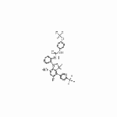 CC1(C)CN(c2ccccc2NC(=O)Nc2ccc(OC(F)(F)F)cc2)c2c(O)cc(F)c(-c3ccc(C(F)(F)F)nc3)c21